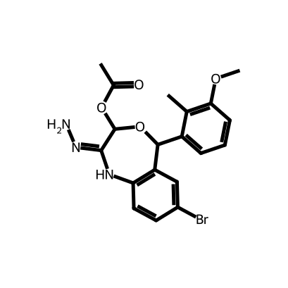 COc1cccc(C2OC(OC(C)=O)C(=NN)Nc3ccc(Br)cc32)c1C